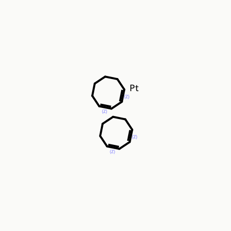 C1=C\CCCC\C=C/1.C1=C\CCCC\C=C/1.[Pt]